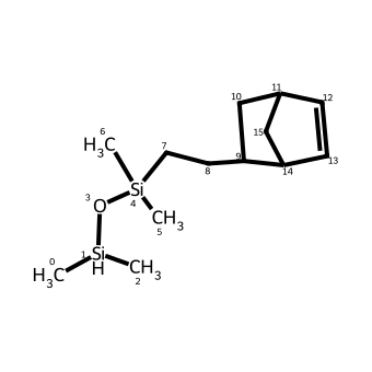 C[SiH](C)O[Si](C)(C)CCC1CC2C=CC1C2